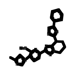 COc1nc(-c2nc3n(n2)CCCC3c2ncc(-c3ccccc3)s2)ccc1-n1cnc(C)c1